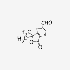 CC1(C)OC(=O)c2ccc(C=O)cc21